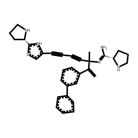 C=C(c1cccc(-c2ccccc2)c1)C(C)(C#CC#Cc1cnc([C@@H]2CCCN2)[nH]1)/N=C(\N)[C@@H]1CCCN1